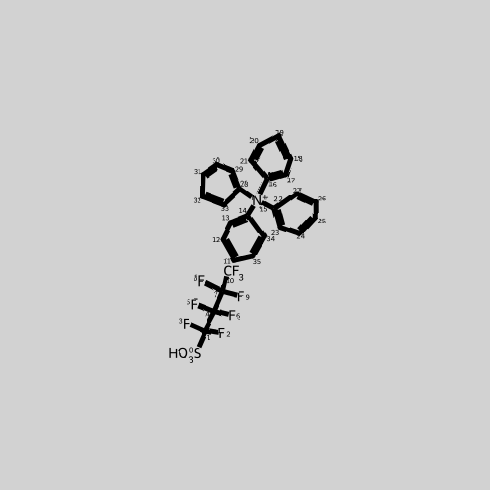 O=S(=O)(O)C(F)(F)C(F)(F)C(F)(F)C(F)(F)F.c1ccc([N+](c2ccccc2)(c2ccccc2)c2ccccc2)cc1